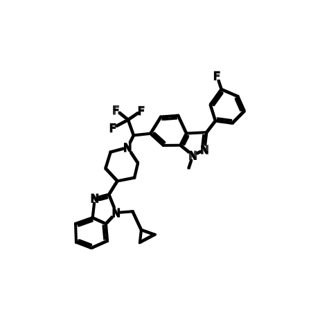 Cn1nc(-c2cccc(F)c2)c2ccc(C(N3CCC(c4nc5ccccc5n4CC4CC4)CC3)C(F)(F)F)cc21